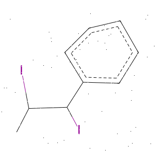 CC(I)C(I)c1ccccc1